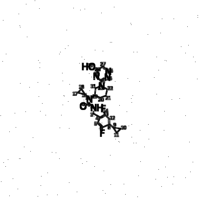 O=C(NCc1cc(F)c(C2CC2)cc1F)N(C1CC1)[C@@H]1CCCN(c2nncc(O)n2)C1